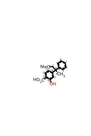 COCC(C)(c1ccccc1)c1ccc(C(=O)O)c(O)c1